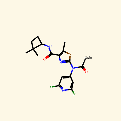 COC(=O)N(c1cc(F)nc(F)c1)c1nc(C(=O)NC2CCC2(C)C)c(C)s1